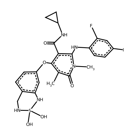 Cc1c(Oc2ccc3c(c2)NS(O)(O)NC3)c(C(=O)NC2CC2)c(Nc2ccc(I)cc2F)n(C)c1=O